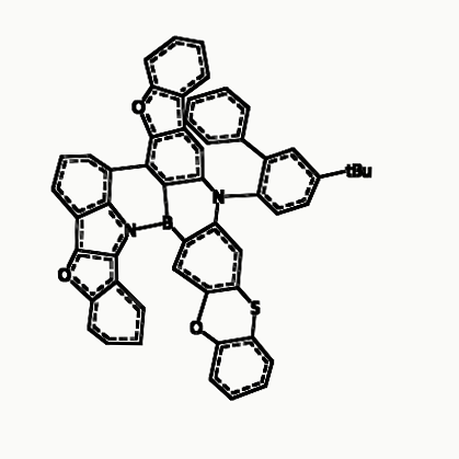 CC(C)(C)c1ccc(N2c3cc4c(cc3B3c5c2cc2c(oc6ccccc62)c5-c2cccc5c6oc7ccccc7c6n3c25)Oc2ccccc2S4)c(-c2ccccc2)c1